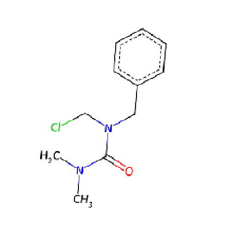 CN(C)C(=O)N(CCl)Cc1ccccc1